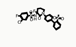 CS(=O)(=O)c1ccccc1-c1ccc(N2CCCC(F)(NS(=O)(=O)c3ccc(F)c(Cl)c3)C2=O)cc1